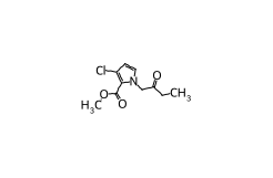 CCC(=O)Cn1ccc(Cl)c1C(=O)OC